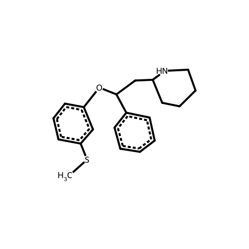 CSc1cccc(OC(CC2CCCCN2)c2ccccc2)c1